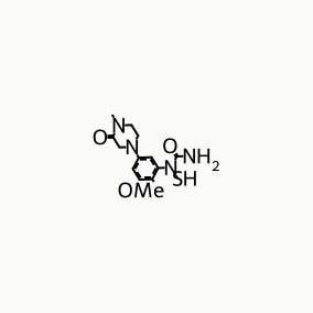 COc1ccc(N2CCN(C)C(=O)C2)cc1N(S)C(N)=O